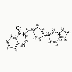 O=c1c2ccccc2ncn1Cc1ccc(-c2ccc3cccn3c2)cc1